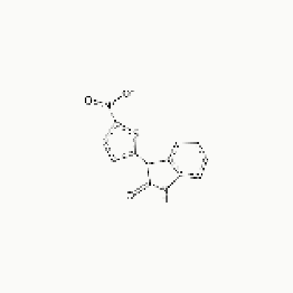 O=C1Nc2ccccc2C1c1ccc([N+](=O)[O-])s1